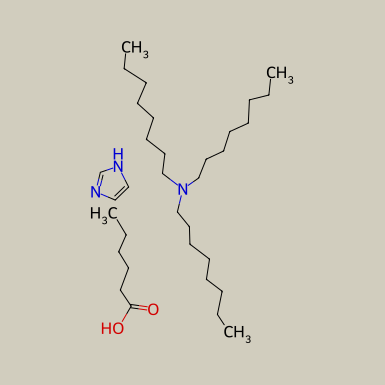 CCCCCC(=O)O.CCCCCCCCN(CCCCCCCC)CCCCCCCC.c1c[nH]cn1